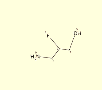 NCC(F)CO